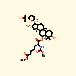 CC(C)(C)OC(=O)CCCC[C@H](NC(=O)OC(C)(C)C)C(=O)O[C@H]1CC2C3(CC[C@]4(C)[C@@H]([C@@]5(C)CC[C@@H](C(C)(C)O)O5)[C@@H](O)C[C@@]24C)C[C@@]32CC[C@H](O)C(C)(C)[C@H]12